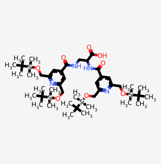 CC(C)(C)[Si](C)(C)OCc1cc(C(=O)NCC(NC(=O)c2cc(CO[Si](C)(C)C(C)(C)C)nc(CO[Si](C)(C)C(C)(C)C)c2)C(=O)O)cc(CO[Si](C)(C)C(C)(C)C)n1